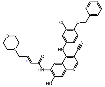 N#Cc1cnc2cc(O)c(NC(=O)/C=C/CN3CCOCC3)cc2c1Nc1ccc(OCc2ccccn2)c(Cl)c1